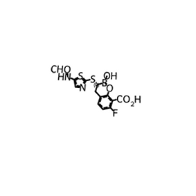 O=CNc1cnc(S[C@H]2Cc3ccc(F)c(C(=O)O)c3OB2O)s1